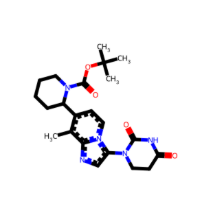 Cc1c(C2CCCCN2C(=O)OC(C)(C)C)ccn2c(N3CCC(=O)NC3=O)cnc12